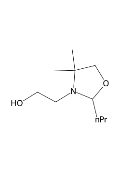 CCCC1OCC(C)(C)N1CCO